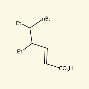 CCCCC(CC)C(C=CC(=O)O)CC